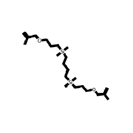 C=C(C)COCCC[Si](C)(C)CCCC[Si](C)(C)CCCOCC(=C)C